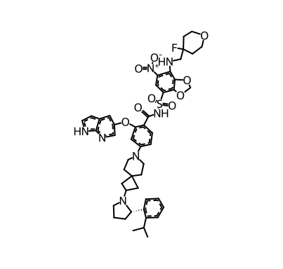 CC(C)c1ccccc1[C@@H]1CCCN1C1CC2(CCN(c3ccc(C(=O)NS(=O)(=O)c4cc([N+](=O)[O-])c(NCC5(F)CCOCC5)c5c4OCO5)c(Oc4cnc5[nH]ccc5c4)c3)CC2)C1